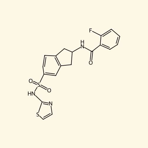 O=C(NC1Cc2ccc(S(=O)(=O)Nc3nccs3)cc2C1)c1ccccc1F